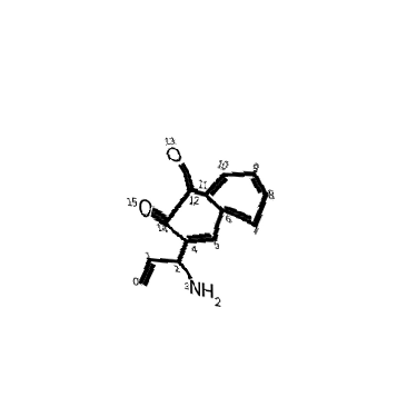 C=CC(N)C1=Cc2ccccc2C(=O)C1=O